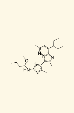 CCCC(Nc1nc(C)c(-c2c(C)nc3c(C(CC)CC)cc(C)nn23)s1)OC